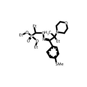 CCOP(=O)(OCC)C(CC)ON=C(c1ccc(SC)cc1)C(C)(CC)N1CCOCC1